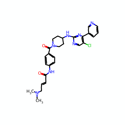 CN(C)C/C=C/C(=O)Nc1ccc(C(=O)N2CCC(Nc3ncc(Cl)c(-c4cccnc4)n3)CC2)cc1